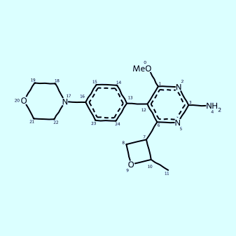 COc1nc(N)nc(C2COC2C)c1-c1ccc(N2CCOCC2)cc1